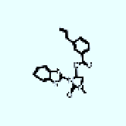 C=CCc1cccc(C(=O)OC2CN(C)C(=O)N2c2nc3ccccc3s2)c1